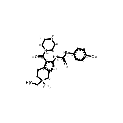 CC[N+]1(C)CCc2c(sc(NC(=O)Nc3ccc(Cl)cc3)c2C(=O)N2CCOCC2)C1.[Cl-]